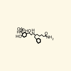 CS(=O)(=O)Nc1cc(C(O)CNC(CCCCC(N)=O)Cc2ccccc2)ccc1O